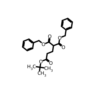 CC(C)(C)OC(=O)CCC(C(=O)OCc1ccccc1)C(=O)OCc1ccccc1